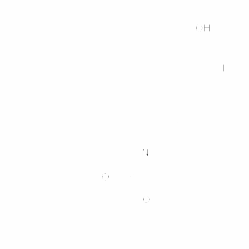 CCCCOC(=O)N1Cc2cc(I)c(CO)cc2C1